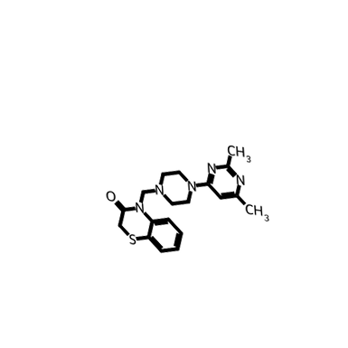 Cc1cc(N2CCN(CN3C(=O)CSc4ccccc43)CC2)nc(C)n1